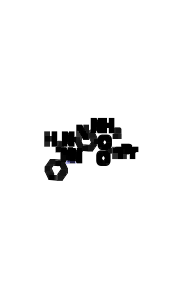 CCCC(=O)Oc1cc(/N=N/c2ccccc2)c(N)nc1N